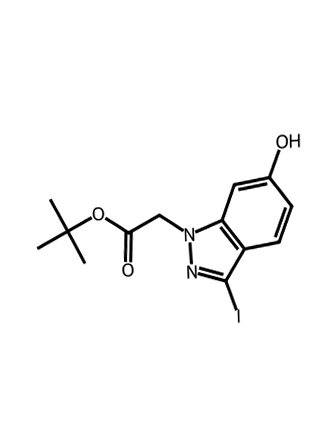 CC(C)(C)OC(=O)Cn1nc(I)c2ccc(O)cc21